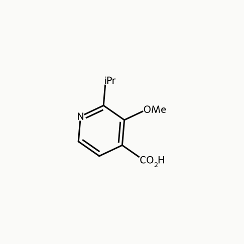 COc1c(C(=O)O)ccnc1C(C)C